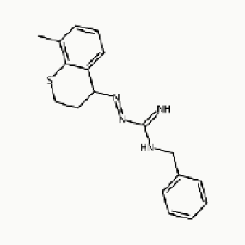 Cc1cccc2c1SCCC2N=NC(=N)NCc1ccccc1